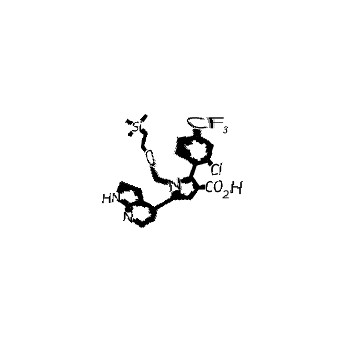 C[Si](C)(C)CCOCn1c(-c2ccnc3[nH]ccc23)cc(C(=O)O)c1-c1ccc(C(F)(F)F)cc1Cl